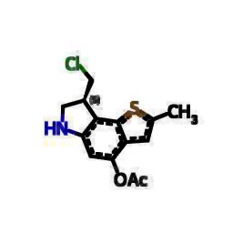 CC(=O)Oc1cc2c(c3sc(C)cc13)[C@H](CCl)CN2